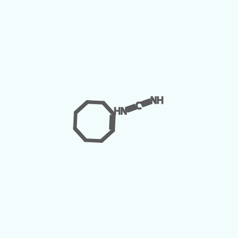 C1=C\CCCCCC/1.N=C=N